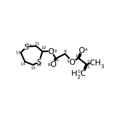 C=C(C)C(=O)OCC(=O)OC1CSCCCS1